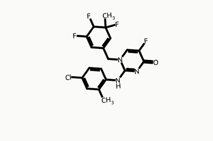 Cc1cc(Cl)ccc1Nc1nc(=O)c(F)cn1CC1=CC(C)(F)C(F)C(F)=C1